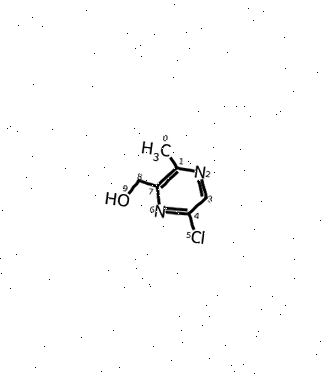 Cc1ncc(Cl)nc1CO